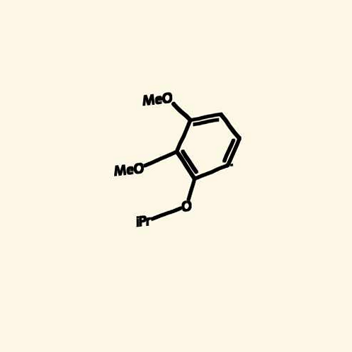 COc1cc[c]c(OC(C)C)c1OC